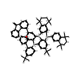 C=C1c2ccccc2-c2c1cccc2-c1ccc2c(c1)B1c3cc4c(cc3N(c3ccc5c(c3)C(C)(C)CCC5(C)C)c3cc(C(C)(C)C)cc(c31)N2c1ccc(C(C)(C)C)cc1-c1ccccc1)C(C)(C)CCC4(C)C